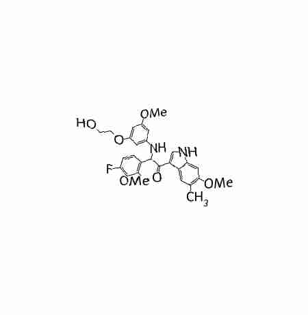 COc1cc(NC(C(=O)c2c[nH]c3cc(OC)c(C)cc23)c2ccc(F)cc2OC)cc(OCCO)c1